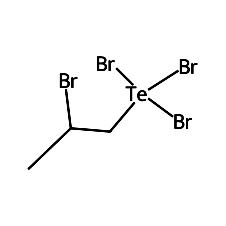 CC(Br)C[Te](Br)(Br)Br